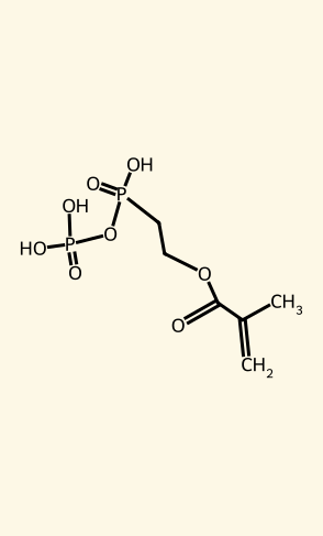 C=C(C)C(=O)OCCP(=O)(O)OP(=O)(O)O